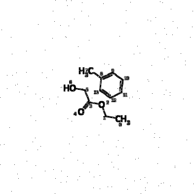 CCOC(=O)CO.Cc1ccccc1